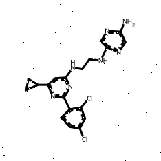 Nc1cnc(NCCNc2cc(C3CC3)nc(-c3ccc(Cl)cc3Cl)n2)cn1